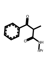 CCCNC(=O)C(C)C(=O)c1ccccc1